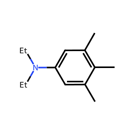 CCN(CC)c1cc(C)c(C)c(C)c1